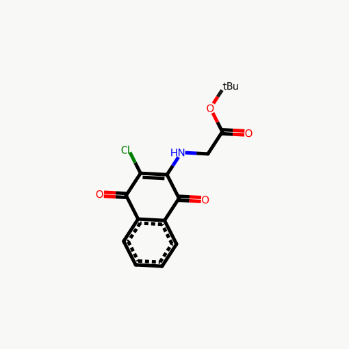 CC(C)(C)OC(=O)CNC1=C(Cl)C(=O)c2ccccc2C1=O